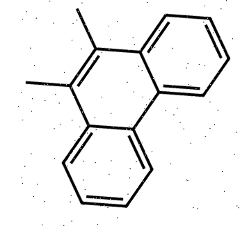 Cc1c(C)c2ccccc2c2ccccc12